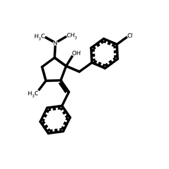 CC1CC(N(C)C)C(O)(Cc2ccc(Cl)cc2)C1=Cc1ccccc1